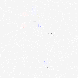 COc1c(-c2ccc3c(c2)CCN(C)C3)ccc2c(=O)c3c(=O)[nH]sc3n(C3CC3)c12